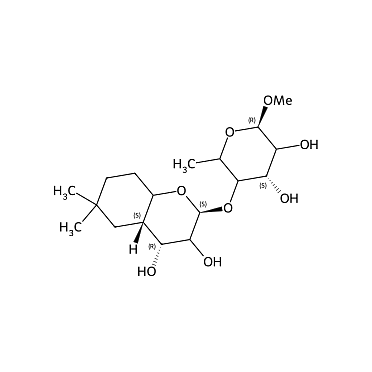 CO[C@@H]1OC(C)C(O[C@@H]2OC3CCC(C)(C)C[C@H]3[C@@H](O)C2O)[C@@H](O)C1O